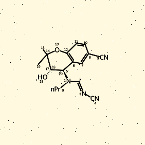 CCCN(C=NC#N)[C@@H]1c2cc(C#N)ccc2OC(C)(C)[C@H]1O